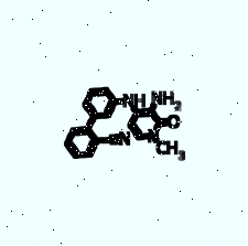 Cn1ccc(Nc2cccc(-c3ccccc3C#N)c2)c(N)c1=O